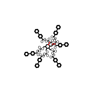 O=C(OCCC(COC(=O)OOC(=O)c1ccc(-c2ccccc2)cc1)C(COC(=O)OOC(=O)c1ccc(-c2ccccc2)cc1)C(COC(=O)OOC(=O)c1ccc(-c2ccccc2)cc1)C(CCOC(=O)OOC(=O)c1ccc(-c2ccccc2)cc1)COC(=O)OOC(=O)c1ccc(-c2ccccc2)cc1)OOC(=O)c1ccc(-c2ccccc2)cc1